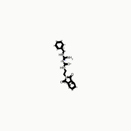 N/C(=N\C(=O)NCCN1C(=O)C2C3C=CC(O3)C2C1=O)NCc1ccccc1